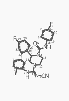 Cc1ccccc1N/C(=N/C#N)N1CCN(C(=O)Nc2ccc(F)cc2)C(c2ccc(F)cc2)C1